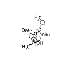 C=CCN1CC[C@]23c4c5ccc(OC)c4OC2C(N(CCCC)C(=O)/C=C/c2cccc(C(F)(F)F)c2)CC[C@@]3(O)[C@H]1C5